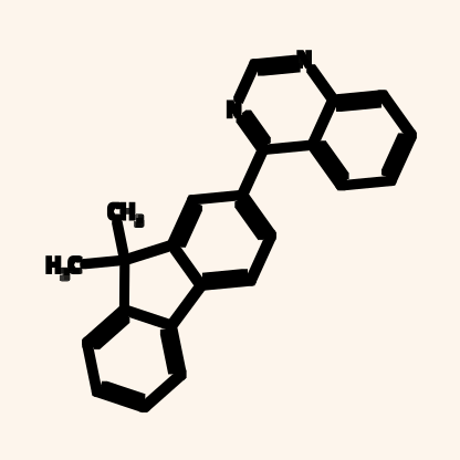 CC1(C)c2ccccc2-c2ccc(-c3ncnc4ccccc34)cc21